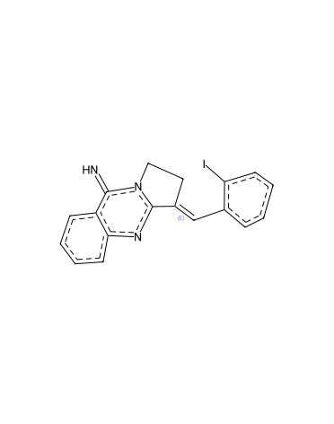 N=c1c2ccccc2nc2n1CC/C2=C\c1ccccc1I